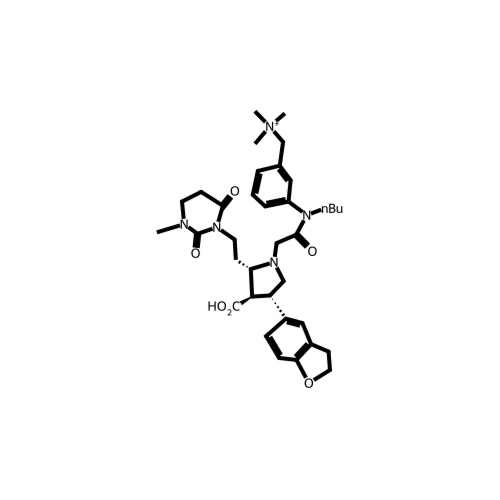 CCCCN(C(=O)CN1C[C@H](c2ccc3c(c2)CCO3)[C@@H](C(=O)O)[C@@H]1CCN1C(=O)CCN(C)C1=O)c1cccc(C[N+](C)(C)C)c1